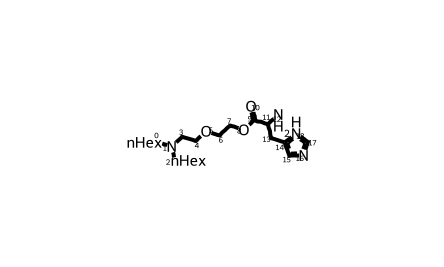 CCCCCCN(CCCCCC)CCOCCOC(=O)C(N)Cc1cnc[nH]1